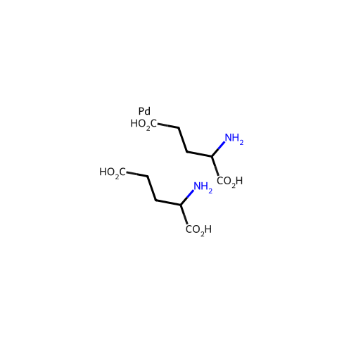 NC(CCC(=O)O)C(=O)O.NC(CCC(=O)O)C(=O)O.[Pd]